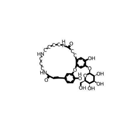 O=C1/C=C/c2ccc(O)c(c2)Oc2cc(O[C@@H]3O[C@H](CO)[C@@H](O)[C@H](O)[C@H]3O)c(O)cc2CCC(=O)NCCCCNCCCN1